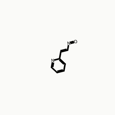 O=N/C=C/c1ccccn1